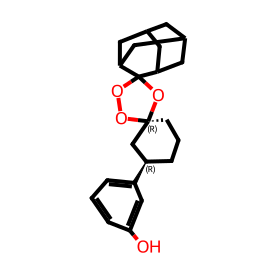 Oc1cccc([C@@H]2CCC[C@]3(C2)OOC2(O3)C3CC4CC(C3)CC2C4)c1